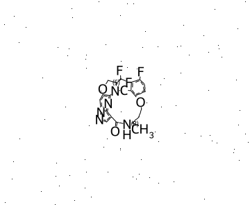 C[C@@H]1CCOc2ccc(F)cc2CN2c3nc4c(cnn4cc3OC[C@H]2C(F)F)C(=O)N1